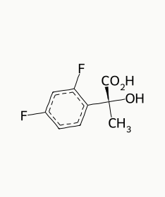 C[C@](O)(C(=O)O)c1ccc(F)cc1F